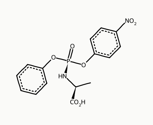 C[C@H](N[P@](=O)(Oc1ccccc1)Oc1ccc([N+](=O)[O-])cc1)C(=O)O